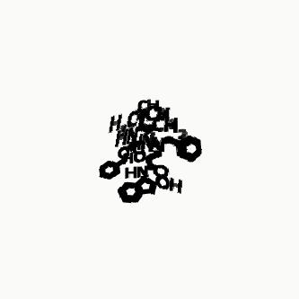 C=C(NN(Cc1ccccc1)C[C@H](O)C(=O)NC1c2ccccc2C[C@H]1O)[C@@H](NC(=O)OCc1ccccc1)C(C)(C)C